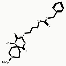 CCCN1C(=O)[C@H](CCCCNC(=O)OCc2ccccc2)NC(=O)C12CCN(C(=O)OCC)CC2